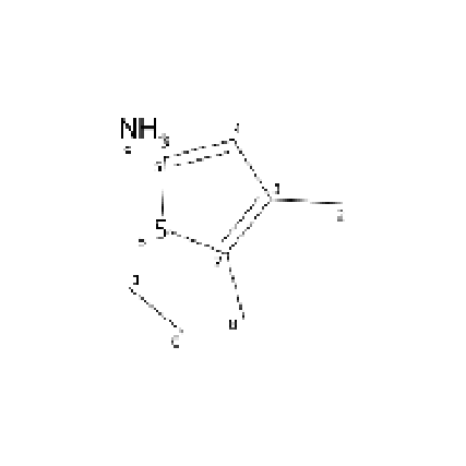 CC.Cc1ccsc1C.N